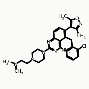 Cc1noc(C)c1-c1ccc2nc(N3CCN(CCN(C)C)CC3)nc(N)c2c1Cc1ccccc1Cl